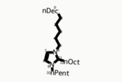 CCCCCCCCCCCCCCCN1C=CN(CCCCC)C1CCCCCCCC